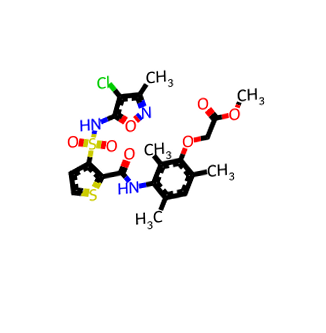 COC(=O)COc1c(C)cc(C)c(NC(=O)c2sccc2S(=O)(=O)Nc2onc(C)c2Cl)c1C